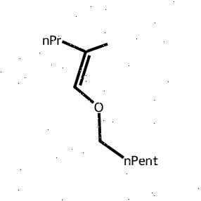 CCCCCCO/C=C(\C)CCC